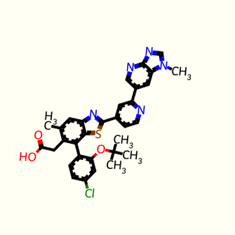 Cc1cc2nc(-c3ccnc(-c4cnc5ncn(C)c5c4)c3)sc2c(-c2ccc(Cl)cc2OC(C)(C)C)c1CC(=O)O